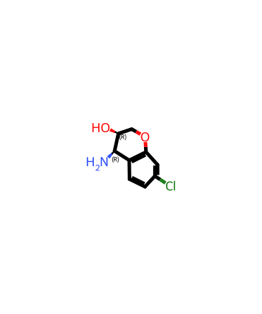 N[C@@H]1c2ccc(Cl)cc2OC[C@@H]1O